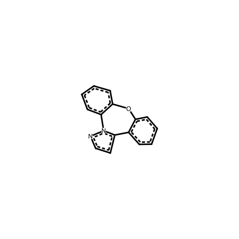 c1ccc2c(c1)Oc1ccccc1-n1nccc1-2